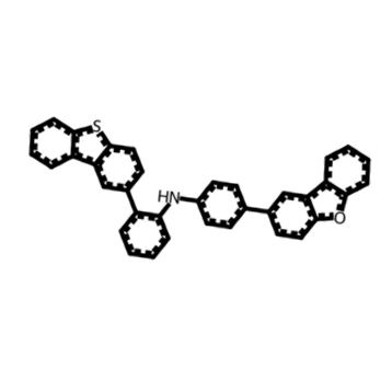 c1ccc(-c2ccc3sc4ccccc4c3c2)c(Nc2ccc(-c3ccc4oc5ccccc5c4c3)cc2)c1